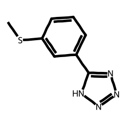 CSc1cccc(-c2nnn[nH]2)c1